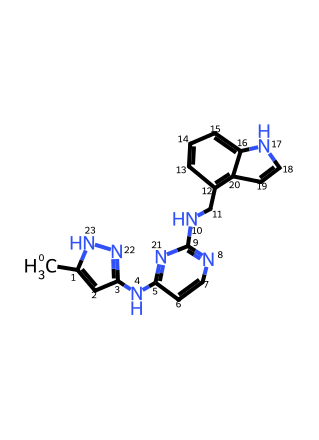 Cc1cc(Nc2ccnc(NCc3cccc4[nH]ccc34)n2)n[nH]1